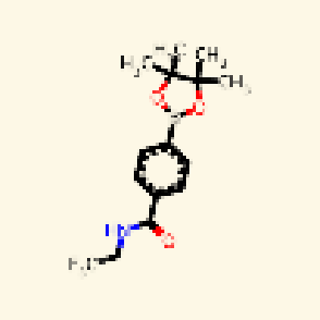 CC1(C)OB(c2ccc(C(=O)NCC(F)(F)F)cc2)OC1(C)C